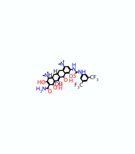 CN(C)c1cc(NC(=S)Nc2cc(C(F)(F)F)cc(C(F)(F)F)c2)c(O)c2c1C[C@H]1C[C@H]3[C@H](N(C)C)C(O)=C(C(N)=O)C(=O)[C@@]3(O)C(O)=C1C2=O